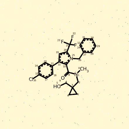 CN(CC1(CO)CC1)C(=O)c1c(-c2ccc(Cl)cc2)cc(C(F)(F)F)n1Cc1ccccc1